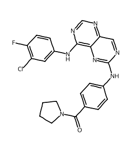 O=C(c1ccc(Nc2ncc3ncnc(Nc4ccc(F)c(Cl)c4)c3n2)cc1)N1CCCC1